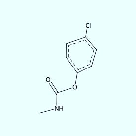 CNC(=O)Oc1ccc(Cl)cc1